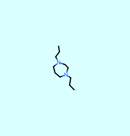 [CH2]CCN1CCCN(CC[CH2])CC1